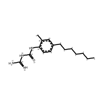 CCCCCCCc1ccc(NC(=O)NC(=N)N)c(C)c1